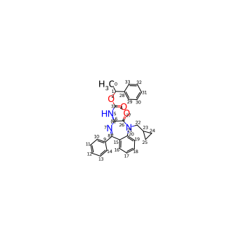 CC(OC(=O)N[C@@H]1N=C(c2ccccc2)c2ccccc2N(CC2CC2)C1=O)c1ccccc1